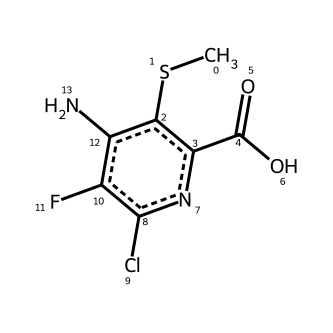 CSc1c(C(=O)O)nc(Cl)c(F)c1N